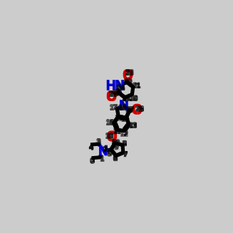 CCN(CC)C1CCC[C@H]1Oc1ccc2c(c1)CN(C1CCC(=O)NC1=O)C2=O